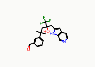 CC(C)(CC(O)(Cc1cc2ccncc2[nH]1)C(F)(F)F)c1cccc(C=O)c1